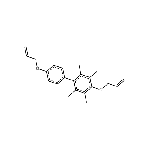 C=CCOc1ccc(-c2c(C)c(C)c(OCC=C)c(C)c2C)cc1